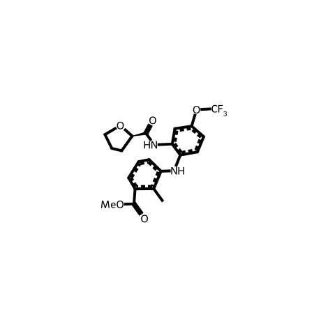 COC(=O)c1cccc(Nc2ccc(OC(F)(F)F)cc2NC(=O)[C@H]2CCCO2)c1C